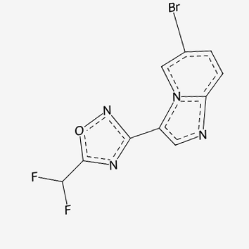 FC(F)c1nc(-c2cnc3ccc(Br)cn23)no1